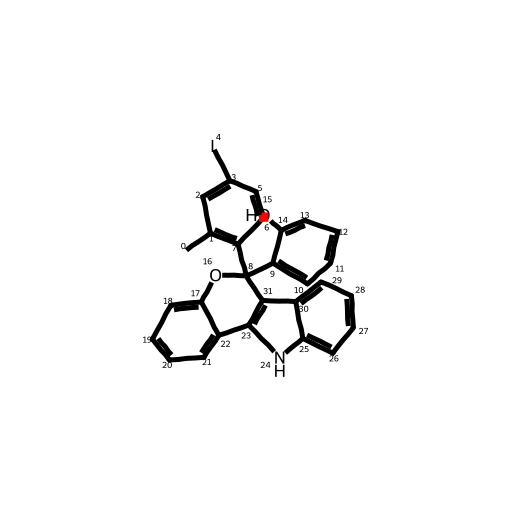 Cc1cc(I)ccc1C1(c2ccccc2O)Oc2ccccc2-c2[nH]c3ccccc3c21